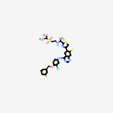 CC(NCCS(=O)(=O)C(C)C)c1nc(-c2cc3c(Nc4ccc(OCc5cccc(F)c5)c(Cl)c4)ncnc3cc2F)cs1